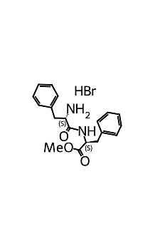 Br.COC(=O)[C@H](Cc1ccccc1)NC(=O)[C@@H](N)Cc1ccccc1